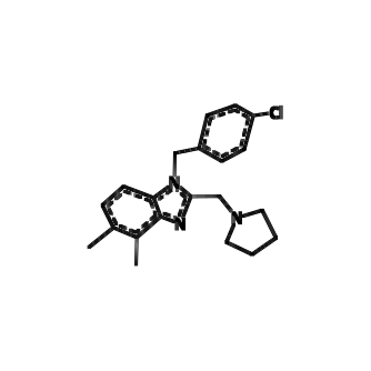 Cc1ccc2c(nc(CN3CCCC3)n2Cc2ccc(Cl)cc2)c1C